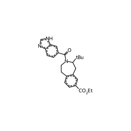 CCOC(=O)c1ccc2c(c1)CC(C(C)(C)C)N(C(=O)c1ccc3nc[nH]c3c1)CC2